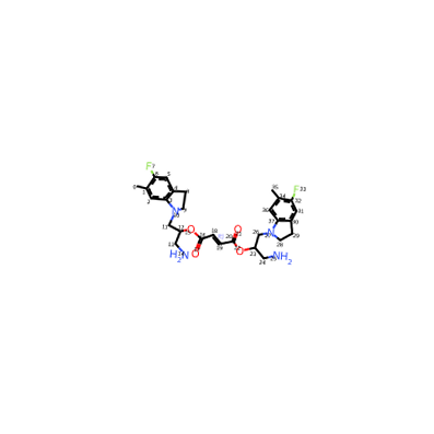 Cc1cc2c(cc1F)CCN2CC(CN)OC(=O)/C=C/C(=O)OC(CN)CN1CCc2cc(F)c(C)cc21